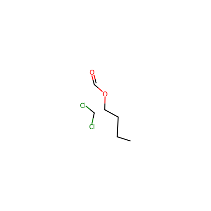 CCCCOC=O.ClCCl